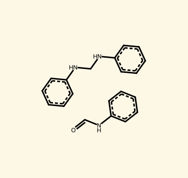 O=CNc1ccccc1.c1ccc(NCNc2ccccc2)cc1